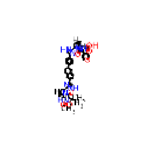 COC(=O)N[C@H](C(=O)N1[C@@H]2C[C@@H]2C[C@H]1c1nc(-c2ccc3cc(-c4ccc(-c5c[nH]c(C6C[C@H]7C[C@H]7N6C(=O)[C@@H](NC(=O)O)C6CCOCC6)n5)cc4)ccc3c2)c[nH]1)C(C)C